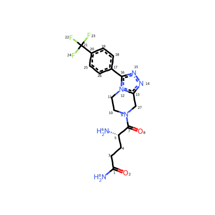 NC(=O)CC[C@H](N)C(=O)N1CCn2c(nnc2-c2ccc(C(F)(F)F)cc2)C1